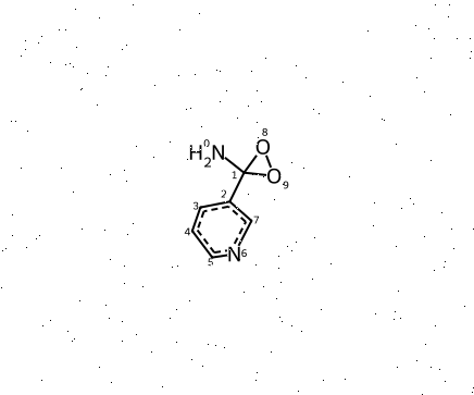 NC1(c2cccnc2)OO1